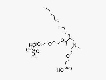 CCCCCCCCCCC(CN(C)CCOCCC(=O)O)C(C)OCCOCCO.COS(=O)(=O)O